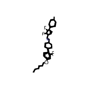 CCCCCCOc1ccc(C2CCC(/C=C/c3ccc(C4CCC(C)CC4)c(F)c3F)CC2)c(F)c1